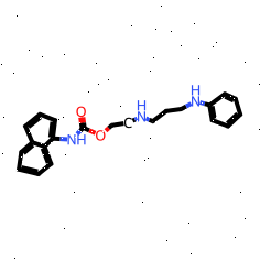 O=C(Nc1cccc2ccccc12)OCCNCCCNc1ccccc1